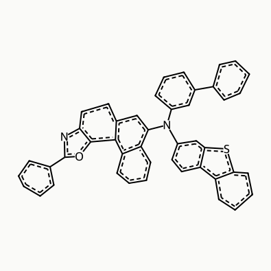 c1ccc(-c2cccc(N(c3ccc4c(c3)sc3ccccc34)c3cc4ccc5nc(-c6ccccc6)oc5c4c4ccccc34)c2)cc1